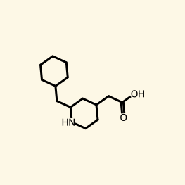 O=C(O)CC1CCNC(CC2CCCCC2)C1